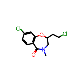 CN1CC(CCCl)Oc2cc(Cl)ccc2C1=O